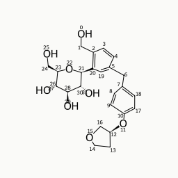 OCc1ccc(Cc2ccc(O[C@H]3CCOC3)cc2)cc1[C@@H]1O[C@H](CO)[C@@H](O)[C@H](O)[C@H]1O